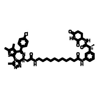 Cc1sc2c(c1C)C(c1ccc(Cl)cc1)=N[C@@H](CC(=O)NCCCCCCCCCCC(=O)Nc1cccc([C@@H](C)C(=O)NC3CCC(=O)NC3=O)c1)c1nnc(C)n1-2